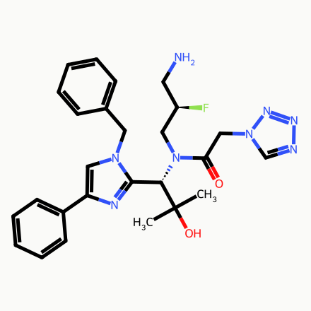 CC(C)(O)[C@H](c1nc(-c2ccccc2)cn1Cc1ccccc1)N(C[C@H](F)CN)C(=O)Cn1cnnn1